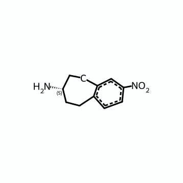 N[C@H]1CCc2ccc([N+](=O)[O-])cc2CC1